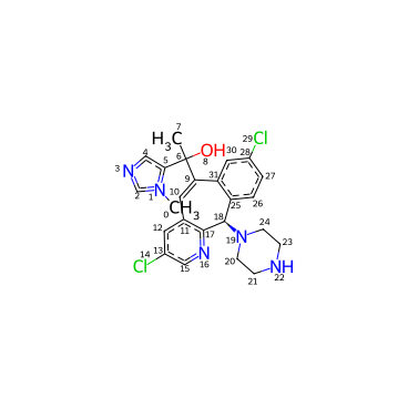 Cn1cncc1C(C)(O)C1=Cc2cc(Cl)cnc2[C@H](N2CCNCC2)c2ccc(Cl)cc21